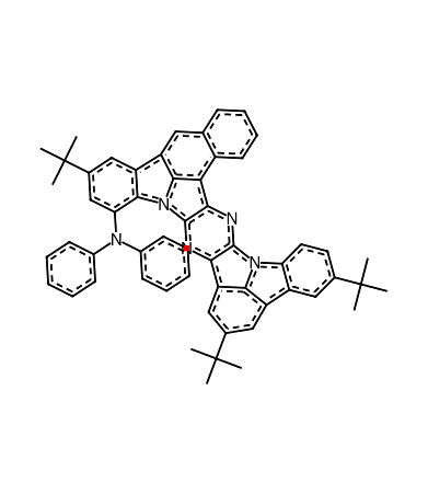 CC(C)(C)c1ccc2c(c1)c1cc(C(C)(C)C)cc3c4nc5c(nc4n2c13)c1c2ccccc2cc2c3cc(C(C)(C)C)cc(N(c4ccccc4)c4ccccc4)c3n5c21